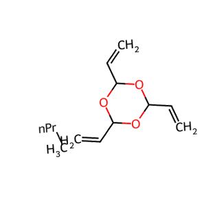 C=CC1OC(C=C)OC(C=C)O1.CCCC